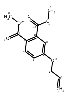 C=CCOc1ccc(C(=O)OC)c(C(=O)OC)c1